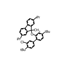 CC(C)c1ccc2c(c1)C(C)(Oc1cc(C(C)(C)C)ccc1-c1ccc(C(C)(C)C)c(Cl)c1)c1cc(C(C)C)ccc1-2